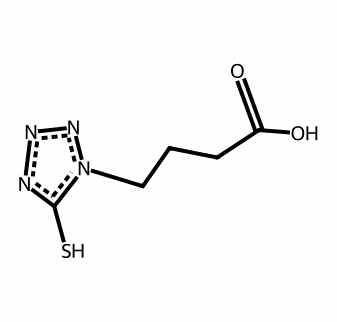 O=C(O)CCCn1nnnc1S